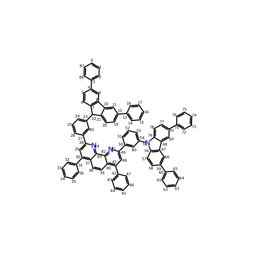 c1ccc(-c2ccc3c(c2)-c2cc(-c4ccccc4)ccc2C3c2cccc(-c3cc(-c4ccccc4)c4ccc5c(-c6ccccc6)cc(-c6cccc(-n7c8ccc(-c9ccccc9)cc8c8cc(-c9ccccc9)ccc87)c6)nc5c4n3)c2)cc1